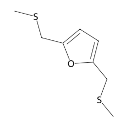 CSCc1ccc(CSC)o1